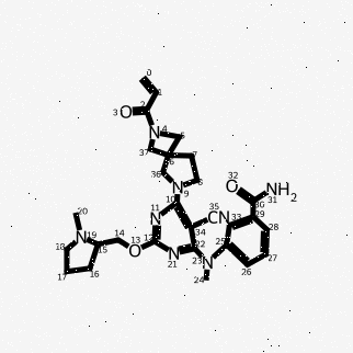 C=CC(=O)N1CC2(CCN(c3nc(OCC4CCCN4C)nc(N(C)c4cccc(C(N)=O)c4)c3C#N)C2)C1